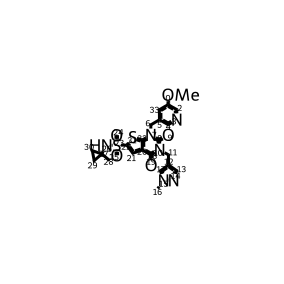 COc1cncc(Cn2c(=O)n(Cc3cnn(C)c3)c(=O)c3cc(S(=O)(=O)NC4(C)CC4)sc32)c1